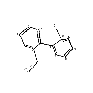 O=CCc1cccnc1-c1ccccc1F